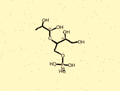 CC(O)[C@@H](O)OC(CO[PH](O)(O)O)[C@@H](O)CO